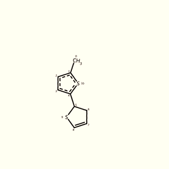 Cc1ccc(C2CC=CS2)s1